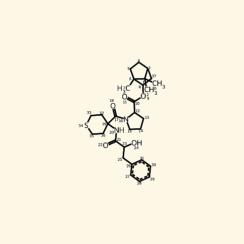 CC1(C)C2CCC1(C)C(OC(=O)C1CCCN1C(=O)C1(NC(=O)C(O)Cc3ccccc3)CCSCC1)C2